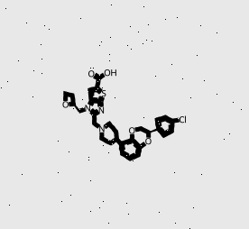 O=C(O)c1cc2c(nc(CN3CCC(c4cccc5c4OC[C@@H](c4ccc(Cl)cc4)O5)CC3)n2C[C@@H]2CCO2)s1